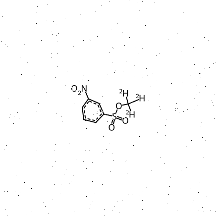 [2H]C([2H])([2H])OS(=O)(=O)c1cccc([N+](=O)[O-])c1